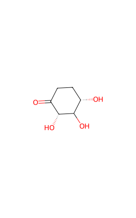 O=C1CC[C@H](O)C(O)[C@@H]1O